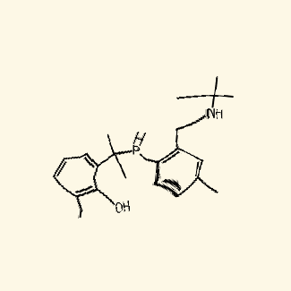 Cc1ccc(PC(C)(C)c2cccc(C)c2O)c(CNC(C)(C)C)c1